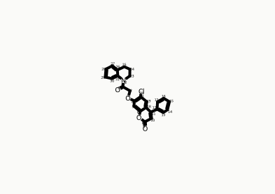 O=C(COc1cc2oc(=O)cc(-c3ccccc3)c2cc1Cl)N1CCCc2ccccc21